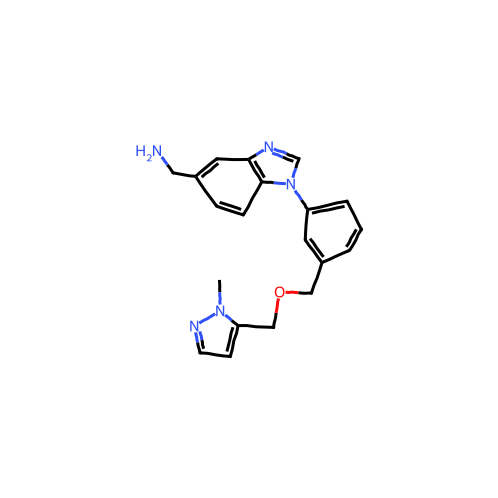 Cn1nccc1COCc1cccc(-n2cnc3cc(CN)ccc32)c1